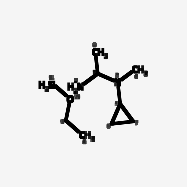 CC(N)N(C)C1CC1.CCO[SiH3]